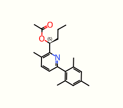 CCC[C@H](OC(C)=O)c1nc(-c2c(C)cc(C)cc2C)ccc1C